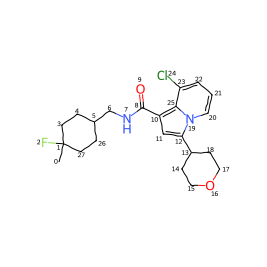 CC1(F)CCC(CNC(=O)c2cc(C3CCOCC3)n3cccc(Cl)c23)CC1